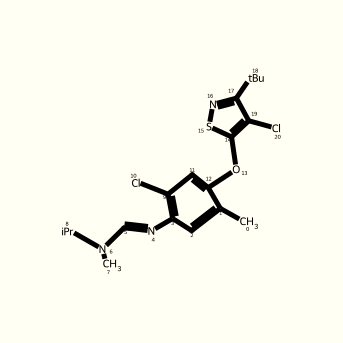 Cc1cc(N=CN(C)C(C)C)c(Cl)cc1Oc1snc(C(C)(C)C)c1Cl